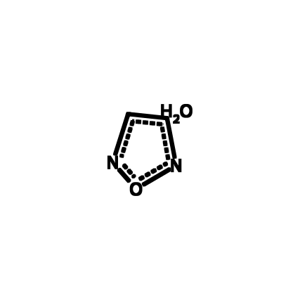 O.c1cnon1